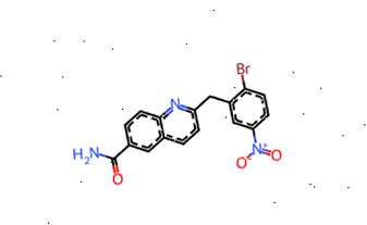 NC(=O)c1ccc2nc(Cc3cc([N+](=O)[O-])ccc3Br)ccc2c1